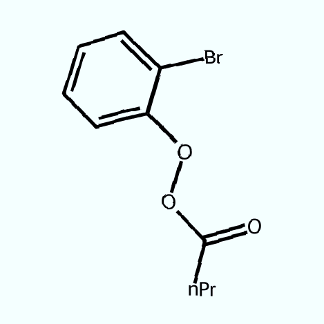 CCCC(=O)OOc1ccccc1Br